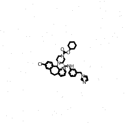 O=C(Nc1cccc(Cn2ccnc2)c1)[C@H]1CN(C(=O)OC2CCCCC2)CCN1[C@@H]1c2ccc(Cl)cc2CCc2cccnc21